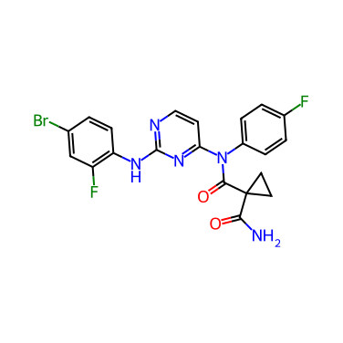 NC(=O)C1(C(=O)N(c2ccc(F)cc2)c2ccnc(Nc3ccc(Br)cc3F)n2)CC1